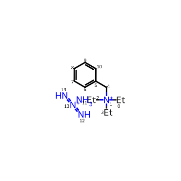 CC[N+](CC)(CC)Cc1ccccc1.N.N=[N+]=N